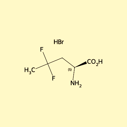 Br.CC(F)(F)C[C@H](N)C(=O)O